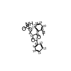 NS(=O)OC[C@@H]1OC(c2ccccc2)O[C@H]1c1ccccc1F